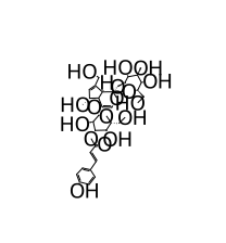 O=C(/C=C/c1ccc(O)cc1)O[C@@H]1[C@@H](O)[C@H](O[C@@]23C=CO[C@@H](O[C@@H]4O[C@H](CO)[C@@H](O)[C@H](O)[C@H]4O)[C@@H]2C(CO)=C[C@H]3O)O[C@H](CO)[C@H]1O